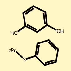 CCCSc1ccccc1.Oc1cccc(O)c1